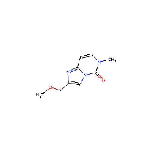 COCc1cn2c(=O)n(C)ccc2n1